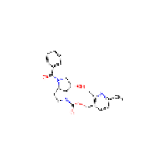 Cc1nc(C(F)(F)F)ccc1COC(=O)N1CCC2C1C(O)CN2C(=O)c1ccccc1